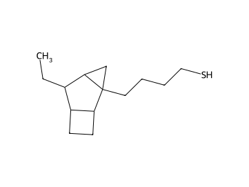 CCC1C2CCC2C2(CCCCS)CC12